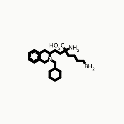 BCCCCC(N)(CCC1Cc2ccccc2CN1CC1CCCCC1)C(=O)O